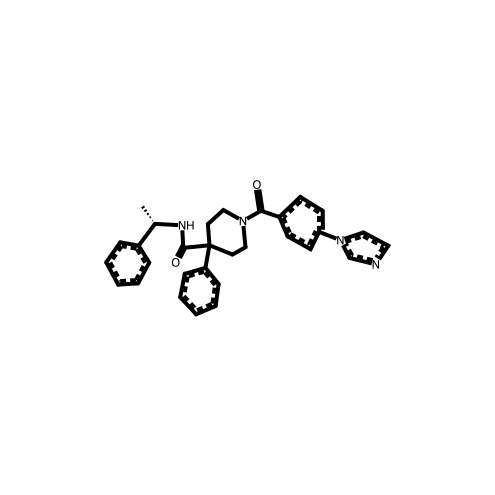 C[C@H](NC(=O)C1(c2ccccc2)CCN(C(=O)c2ccc(-n3ccnc3)cc2)CC1)c1ccccc1